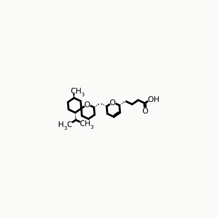 CC(C)[C@@H]1CC[C@@H](C)CC12CCC[C@@H](C[C@H]1CC=C[C@@H](CCCC(=O)O)O1)O2